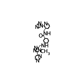 Cn1c(CNc2cccc(C(=O)NCc3cccnc3-n3cncn3)c2)nnc1-c1ccncn1